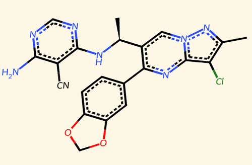 Cc1nn2cc([C@H](C)Nc3ncnc(N)c3C#N)c(-c3ccc4c(c3)OCO4)nc2c1Cl